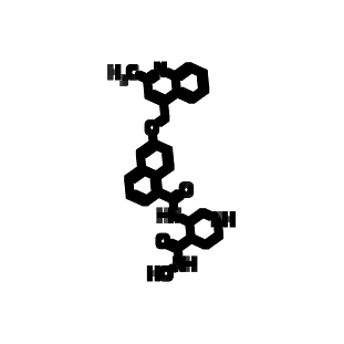 Cc1cc(COc2ccc3c(C(=O)NC4CNCCC4C(=O)NO)cccc3c2)c2ccccc2n1